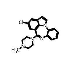 CN1CCN(C2=Nc3ccccc3-n3ccc4cc(Cl)cc2c43)CC1